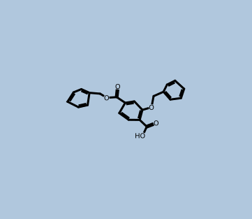 O=C(OCc1ccccc1)c1ccc(C(=O)O)c(OCc2ccccc2)c1